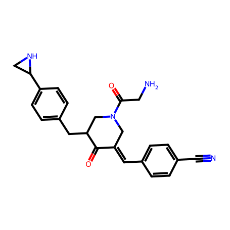 N#Cc1ccc(/C=C2\CN(C(=O)CN)CC(Cc3ccc(C4CN4)cc3)C2=O)cc1